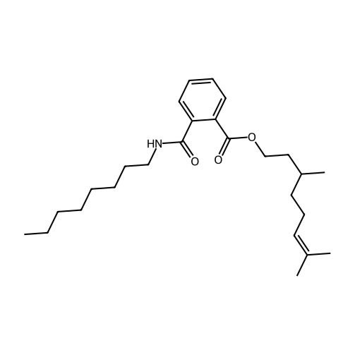 CCCCCCCCNC(=O)c1ccccc1C(=O)OCCC(C)CCC=C(C)C